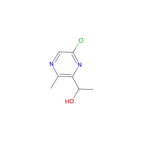 Cc1ncc(Cl)nc1C(C)O